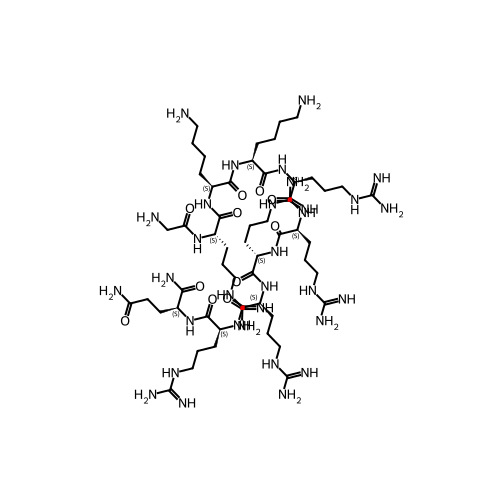 N=C(N)NCCC[C@H](NC(=O)CN)C(=O)N[C@@H](CCCCN)C(=O)N[C@@H](CCCCN)C(=O)N[C@@H](CCCNC(=N)N)C(=O)N[C@@H](CCCNC(=N)N)C(=O)N[C@@H](CCCNC(=N)N)C(=O)N[C@@H](CCCNC(=N)N)C(=O)N[C@@H](CCCNC(=N)N)C(=O)N[C@@H](CCC(N)=O)C(N)=O